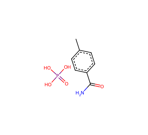 Cc1ccc(C(N)=O)cc1.O=P(O)(O)O